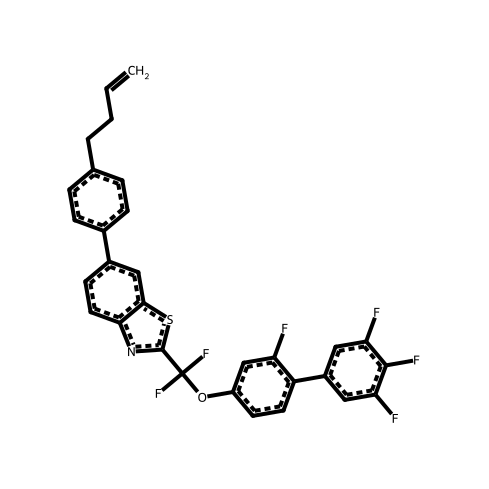 C=CCCc1ccc(-c2ccc3nc(C(F)(F)Oc4ccc(-c5cc(F)c(F)c(F)c5)c(F)c4)sc3c2)cc1